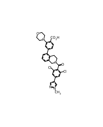 Cn1cc(-c2cc(Cl)c(C(=O)N3CCc4c(cccc4-c4ccc(C(=O)O)c(N5CCOCC5)c4)C3)c(Cl)c2)cn1